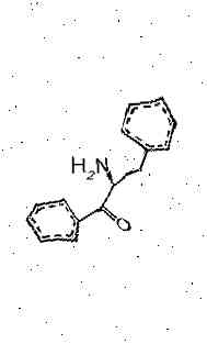 N[C@@H](Cc1ccccc1)C(=O)c1ccccc1